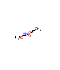 CCCCOC(=O)N[CH]COC